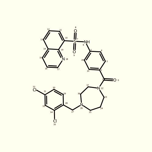 O=C(c1ccc(NS(=O)(=O)c2cccc3cccnc23)cc1)N1CCCN(Cc2ccc(Cl)cc2Cl)CC1